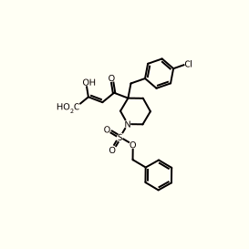 O=C(O)C(O)=CC(=O)C1(Cc2ccc(Cl)cc2)CCCN(S(=O)(=O)OCc2ccccc2)C1